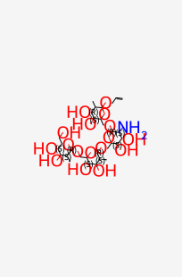 C=CCOC1OC(CO[C@@H]2OC(CO[C@@H]3OC(CO[C@@H]4OC(CO)[C@@H](O)C(O)[C@@H]4C)[C@@H](O)C(O)[C@@H]3C)[C@@H](O)C(O)[C@@H]2N)[C@@H](O)[C@H](O)C1C